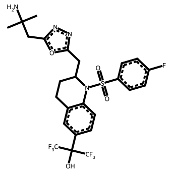 CC(C)(N)Cc1nnc(CC2CCc3cc(C(O)(C(F)(F)F)C(F)(F)F)ccc3N2S(=O)(=O)c2ccc(F)cc2)o1